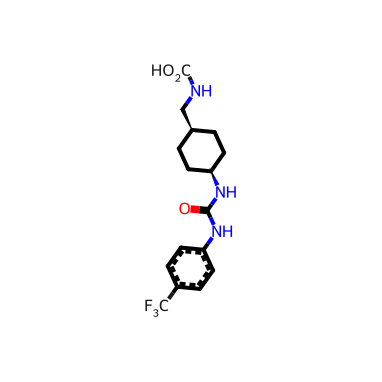 O=C(O)NC[C@H]1CC[C@@H](NC(=O)Nc2ccc(C(F)(F)F)cc2)CC1